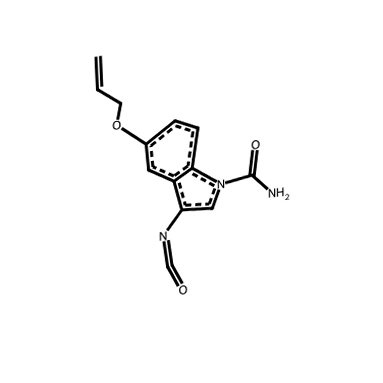 C=CCOc1ccc2c(c1)c(N=C=O)cn2C(N)=O